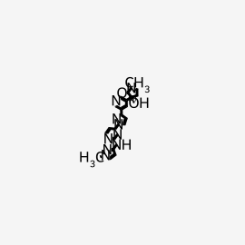 CN1CC[C@](O)(c2cncc(-c3ccn(-c4ccnc(Nc5ccn(C)n5)n4)n3)c2)C1=O